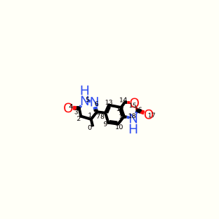 CC1CC(=O)NN=C1c1ccc2c(c1)COC(=O)N2